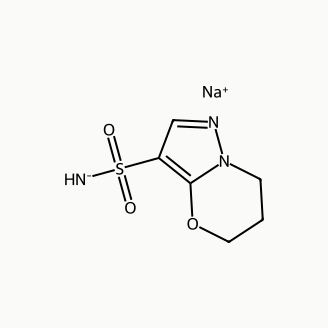 [NH-]S(=O)(=O)c1cnn2c1OCCC2.[Na+]